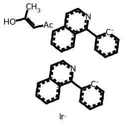 CC(=O)/C=C(\C)O.[Ir].[c-]1ccccc1-c1nccc2ccccc12.[c-]1ccccc1-c1nccc2ccccc12